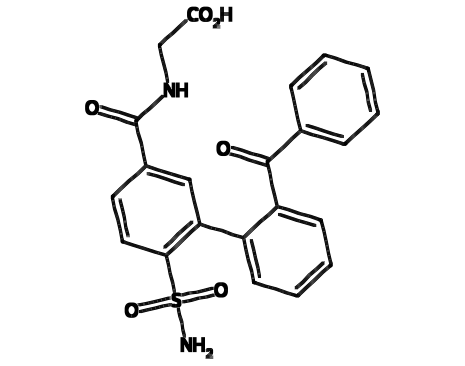 NS(=O)(=O)c1ccc(C(=O)NCC(=O)O)cc1-c1ccccc1C(=O)c1ccccc1